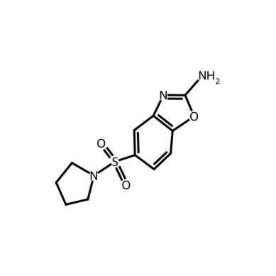 Nc1nc2cc(S(=O)(=O)N3CCCC3)ccc2o1